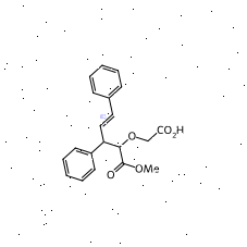 COC(=O)C(OCC(=O)O)C(/C=C/c1ccccc1)c1ccccc1